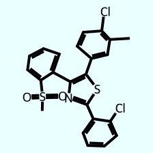 Cc1cc(-c2sc(-c3ccccc3Cl)nc2-c2ccccc2S(C)(=O)=O)ccc1Cl